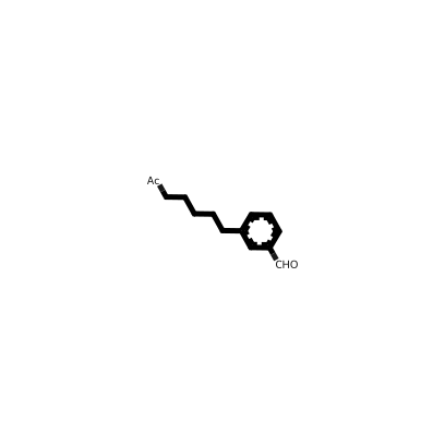 CC(=O)CCCCCc1cccc(C=O)c1